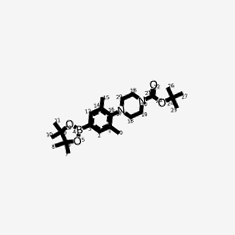 Cc1cc(B2OC(C)(C)C(C)(C)O2)cc(C)c1N1CCN(C(=O)OC(C)(C)C)CC1